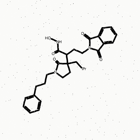 CC(C)CC1(C(CCN2C(=O)c3ccccc3C2=O)C(=O)NO)CCN(CCCc2ccccc2)C1=O